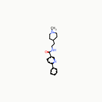 CN1CCC(CCNC(=O)c2ccc(-c3ccccc3)nc2)CC1